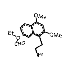 CCOC=O.COc1cc(OC)c2ccccc2c1CCC(C)C